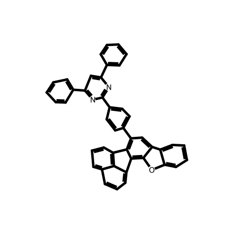 c1ccc(-c2cc(-c3ccccc3)nc(-c3ccc(-c4cc5c(oc6ccccc65)c5c4-c4cccc6cccc-5c46)cc3)n2)cc1